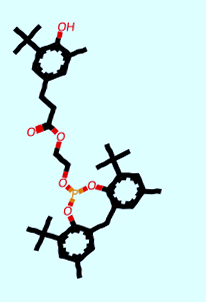 Cc1cc2c(c(C(C)(C)C)c1)OP(OCCOC(=O)CCc1cc(C)c(O)c(C(C)(C)C)c1)Oc1c(cc(C)cc1C(C)(C)C)C2